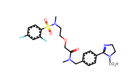 CN(Cc1ccc(C2=NCCN2C(=O)O)cc1)C(=O)COCCN(C)S(=O)(=O)c1ccc(F)cc1F